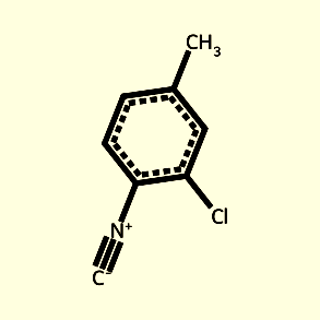 [C-]#[N+]c1ccc(C)cc1Cl